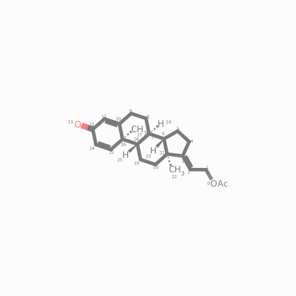 CC(=O)OC/C=C1\CC[C@H]2[C@@H]3CCC4=CC(=O)C=C[C@]4(C)[C@H]3CC[C@]12C